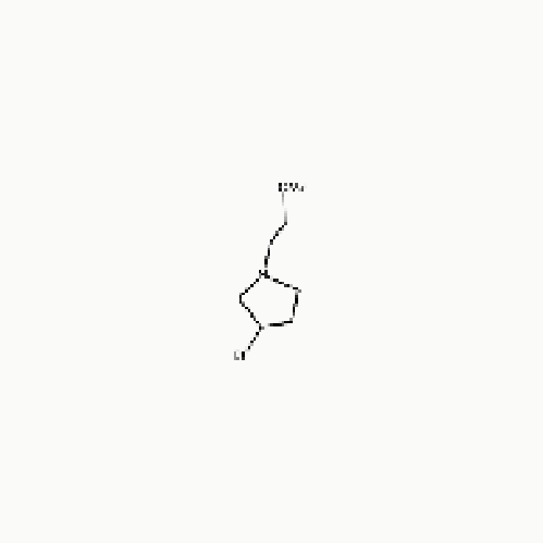 CCC1CCN(CCOC)C1